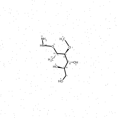 CO[C@@H]([C@H](O)[C@H](O)CO)[C@H](C)ONN